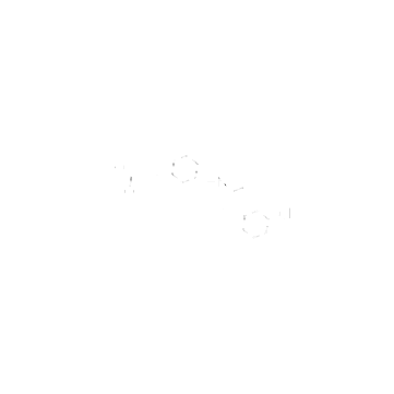 CC(Cc1ccc(OCC(=O)O)cc1)NC(=O)C(O)c1cccc(Cl)c1